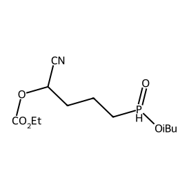 CCOC(=O)OC(C#N)CCC[PH](=O)OCC(C)C